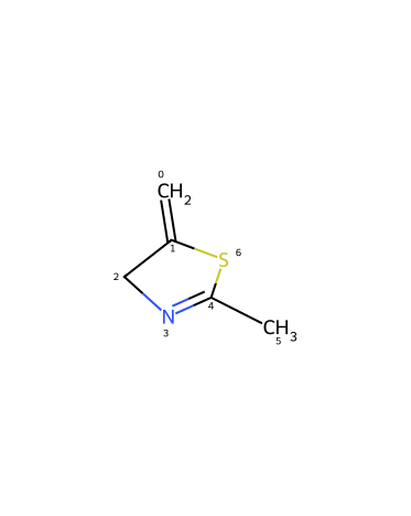 C=C1CN=C(C)S1